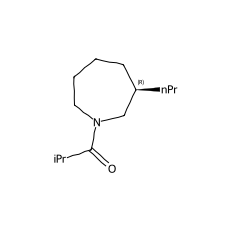 CCC[C@@H]1CCCCN(C(=O)C(C)C)C1